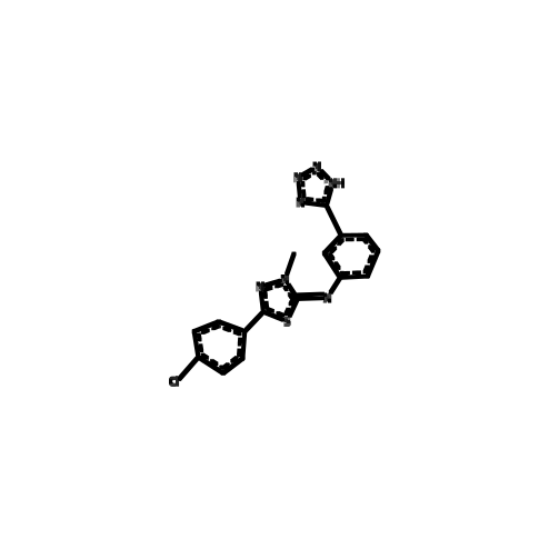 Cn1nc(-c2ccc(Cl)cc2)s/c1=N/c1cccc(-c2nnn[nH]2)c1